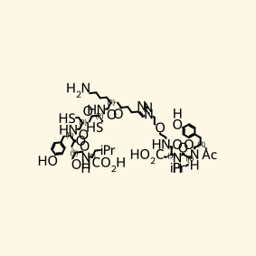 CC(=O)C[C@@H](Cc1ccc(O)cc1)C(=O)N[C@H](CC(C)C)C(=O)N[C@@H](CC(=O)O)C(=O)NCCOCCn1cc(CCC(=O)C[C@@H](CCCCN)C(=O)N[C@@H](CS)C(=O)C[C@@H](CS)C(=O)N[C@H](Cc2ccc(O)cc2)C(=O)C[C@@H](CO)C(=O)N[C@@H](CC(C)C)C(=O)O)nn1